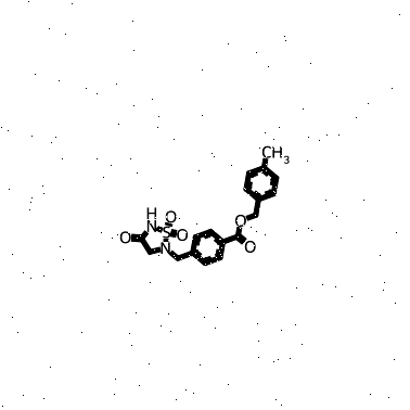 Cc1ccc(COC(=O)c2ccc(CN3CC(=O)NS3(=O)=O)cc2)cc1